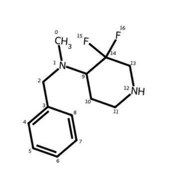 CN(Cc1ccccc1)C1CCNCC1(F)F